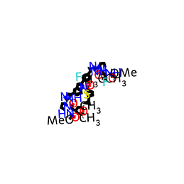 COC(=O)N[C@H](C(=O)N1CCC[C@@H]1c1ncc(-c2ccc3c(c2)cc2n3C(c3ccc(C4CC4)s3)Oc3cc(-c4cnc(C5CCCN5C(=O)[C@H](NC(=O)OC)C(C)(C)F)[nH]4)cc(F)c3-2)[nH]1)C1C[C@@H](C)O[C@@H](C)C1